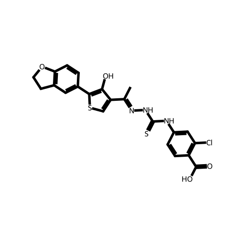 C/C(=N\NC(=S)Nc1ccc(C(=O)O)c(Cl)c1)c1csc(-c2ccc3c(c2)CCO3)c1O